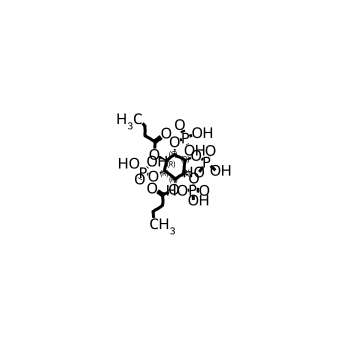 CCCC(=O)O[C@@H]1[C@H](OP(=O)(O)O)[C@@H](OC(=O)CCC)[C@H](OP(=O)(O)O)[C@@H](OP(=O)(O)O)[C@@H]1OP(=O)(O)O